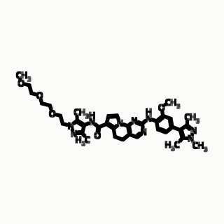 COCCOCCOCCn1nc(C)c(NC(=O)c2ccn3c2CCc2cnc(Nc4ccc(-c5c(C)nn(C)c5C)cc4OC)nc2-3)c1C